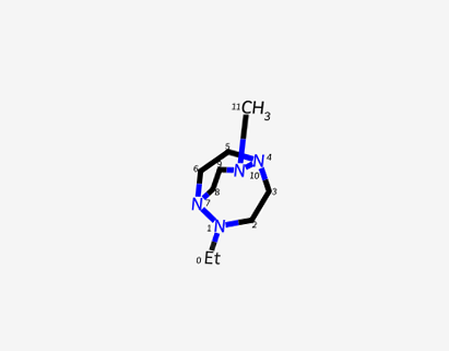 CCN1CCN2CCN1CCN2C